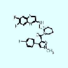 Cn1cc(-c2ccc(F)cc2)c(C(=O)N2CCCC[C@H]2CNc2cnc3cc(F)c(F)cc3n2)n1